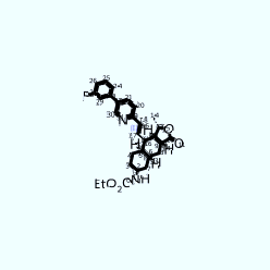 CCOC(=O)N[C@H]1CC[C@@H]2[C@@H](C1)C[C@H]1C(=O)O[C@@H](C)[C@H]1[C@@H]2/C=C/c1ccc(-c2cccc(F)c2)cn1